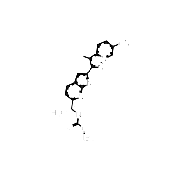 CCc1c(-c2cc3ccc([C@@H](C)NC(=O)OC(C)(C)C)nc3[nH]2)nn2cc(C#N)ccc12